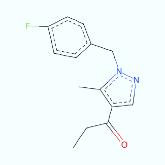 CCC(=O)c1cnn(Cc2ccc(F)cc2)c1C